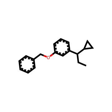 CCC(c1cccc(OCc2ccccc2)c1)C1CC1